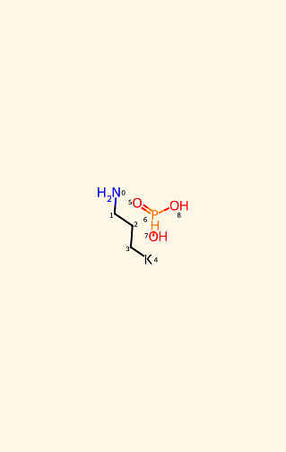 NCC[CH2][K].O=[PH](O)O